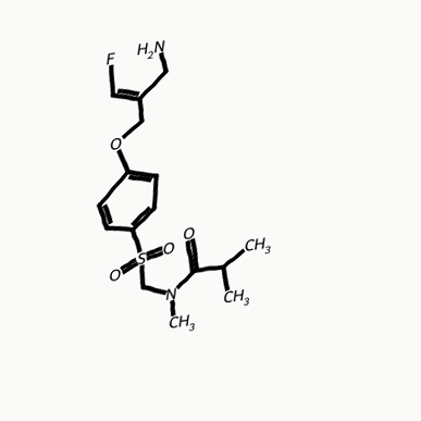 CC(C)C(=O)N(C)CS(=O)(=O)c1ccc(OCC(=CF)CN)cc1